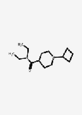 CCN(CC)C(=O)C1CCN(C2CCC2)CC1